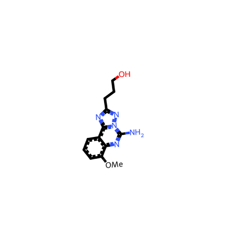 COc1cccc2c1nc(N)n1nc(CCCO)nc21